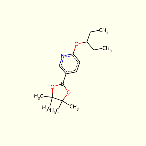 CCC(CC)Oc1ccc(B2OC(C)(C)C(C)(C)O2)cn1